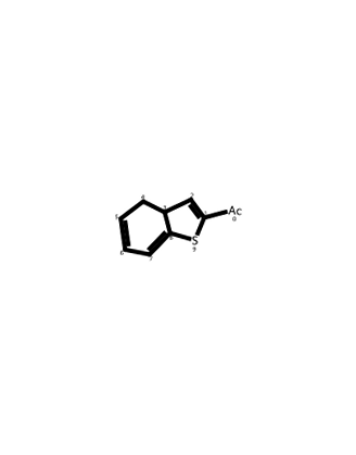 CC(=O)C1=CC2CC=CC=C2S1